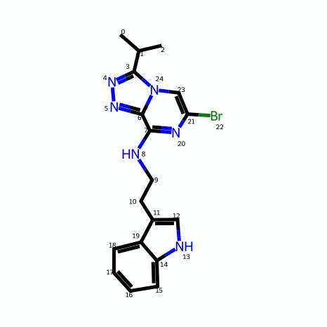 CC(C)c1nnc2c(NCCc3c[nH]c4ccccc34)nc(Br)cn12